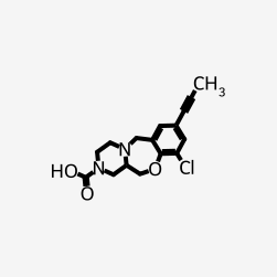 CC#Cc1cc(Cl)c2c(c1)CN1CCN(C(=O)O)CC1CO2